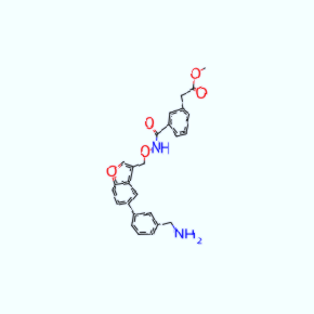 COC(=O)Cc1cccc(C(=O)NOCc2coc3ccc(-c4cccc(CN)c4)cc23)c1